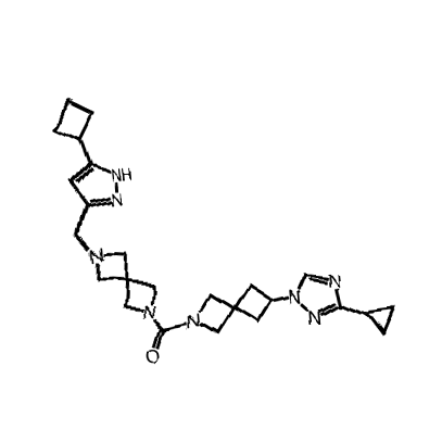 O=C(N1CC2(CC(n3cnc(C4CC4)n3)C2)C1)N1CC2(CN(Cc3cc(C4CCC4)[nH]n3)C2)C1